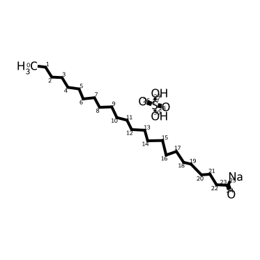 CCCCCCCCCCCCCCCCCCCCCCC[C](=O)[Na].O=S(=O)(O)O